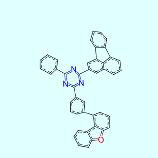 c1ccc(-c2nc(-c3cccc(-c4cccc5oc6ccccc6c45)c3)nc(-c3cc4c5c(cccc5c3)-c3ccccc3-4)n2)cc1